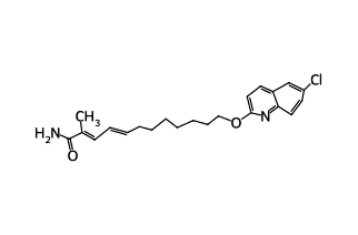 C/C(=C\C=C\CCCCCCCOc1ccc2cc(Cl)ccc2n1)C(N)=O